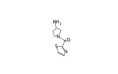 NC1CCN(C(=O)c2nccs2)C1